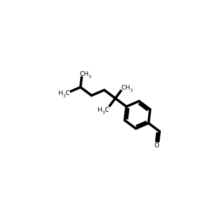 CC(C)CCC(C)(C)c1ccc(C=O)cc1